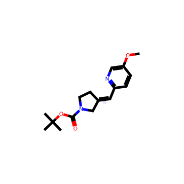 COc1ccc(/C=C2\CCN(C(=O)OC(C)(C)C)C2)nc1